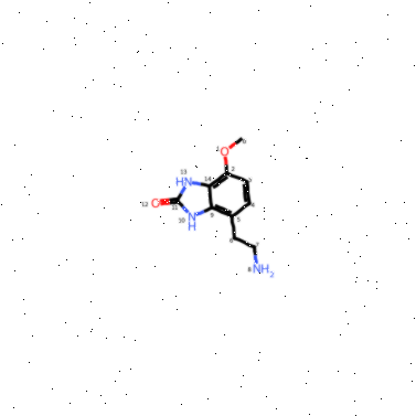 COc1ccc(CCN)c2[nH]c(=O)[nH]c12